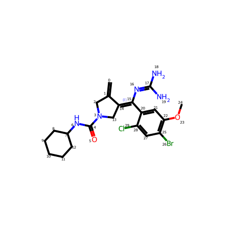 C=C1CN(C(=O)NC2CCCCC2)C/C1=C(/N=C(N)N)c1cc(OC)c(Br)cc1Cl